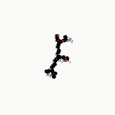 CC1(C)c2ccccc2-c2cc(-c3cc4c5cc6cc(-c7ccc8cc9c(cc8c7)nc7n9c8cc(-c9ccc%10c(c9)C(C)(C)c9ccccc9-%10)cc9c%10cc%11cc(-c%12ccc%13cc%14c(cc%13c%12)nc%12n%14c%13cc(-c%14cccc%15c%14C(C)(C)c%14ccccc%14-%15)cc%14c%15cc%16ccccc%16cc%15n%12c%14%13)ccc%11cc%10n7c98)ccc6cc5n5c4c(c3)n3c4cc6ccccc6cc4nc35)ccc21